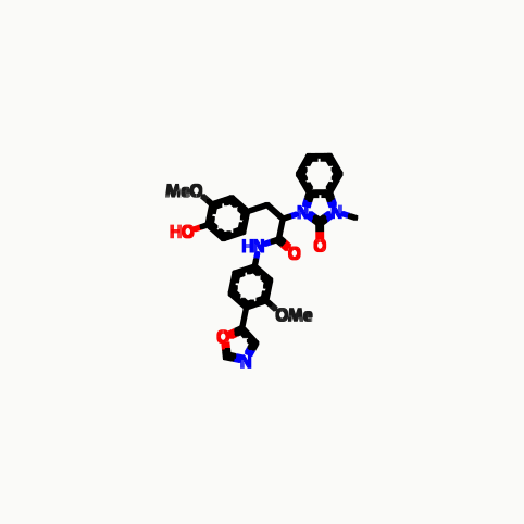 COc1cc(CC(C(=O)Nc2ccc(-c3cnco3)c(OC)c2)n2c(=O)n(C)c3ccccc32)ccc1O